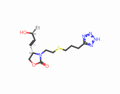 CC[C@H](O)/C=C/[C@H]1COC(=O)N1CCSCCCc1nn[nH]n1